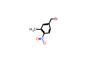 Cc1cc(CBr)ccc1[N+](=O)[O-]